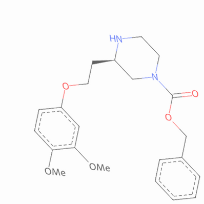 COc1ccc(OCC[C@@H]2CN(C(=O)OCc3ccccc3)CCN2)cc1OC